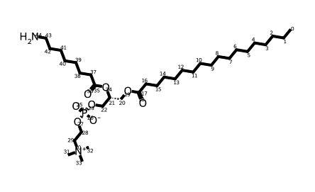 CCCCCCCCCCCCCCCCCC(=O)OC[C@H](COP(=O)([O-])OCC[N+](C)(C)C)OC(=O)CCCCCCCN